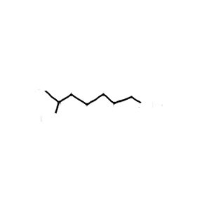 [CH2]CC(C)C(C)CCCCCCCCCCC